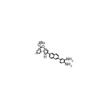 C[C@H]1C[C@@H](c2ncc(-c3ccc4cc(-c5ccc(N)c(N)c5)ccc4c3)[nH]2)N(C(=O)OC(C)(C)C)C1